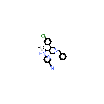 CC(Nc1ccc(C#N)cn1)[C@H]1CCN(Cc2ccccc2)C[C@@H]1C1C=CC(Cl)=CC1